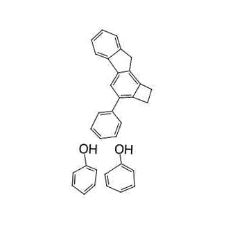 Oc1ccccc1.Oc1ccccc1.c1ccc(-c2cc3c(c4c2CC4)Cc2ccccc2-3)cc1